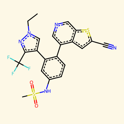 CCn1cc(-c2cc(NS(C)(=O)=O)ccc2-c2cncc3sc(C#N)cc23)c(C(F)(F)F)n1